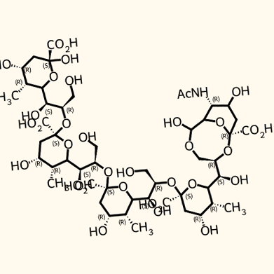 CC(=O)N[C@@H]1C(O)C[C@]2(C(=O)O)OC1C(O)OC[C@H]([C@@H](O)C1O[C@@](O[C@H](CO)[C@@H](O)C3O[C@@](O[C@H](CO)[C@@H](O)C4O[C@@](O[C@H](CO)[C@@H](O)C5O[C@](O)(C(=O)O)C[C@@H](O)[C@H]5C)(C(=O)O)C[C@@H](O)[C@H]4C)(C(=O)O)C[C@@H](O)[C@H]3C)(C(=O)O)C[C@@H](O)[C@H]1C)O2